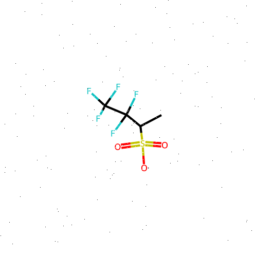 CC(C(F)(F)C(F)(F)F)S([O])(=O)=O